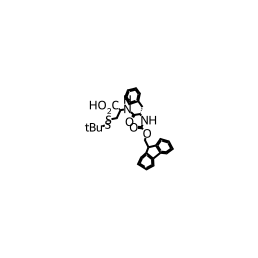 CC(C)(C)SSC[C@H](NC(=O)[C@H](Cc1ccccc1)NC(=O)OCC1c2ccccc2-c2ccccc21)C(=O)O